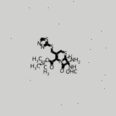 C[Si](C)(C)OC(=O)C1=C(CSc2nncs2)CS[C@@H]2N1C(=O)[C@]2(N)NC=O